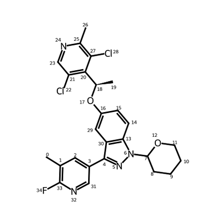 Cc1cc(-c2nn(C3CCCCO3)c3ccc(O[C@H](C)c4c(Cl)cnc(C)c4Cl)cc23)cnc1F